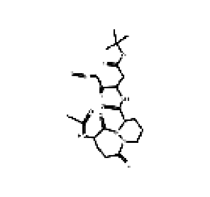 CC(=O)NC1CCC(=O)N2CCCC(C(=O)NC(CC(=O)OC(C)(C)C)C(=O)C=[N+]=[N-])N2C1=O